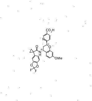 COc1ccc2c(c1)O[C@H](c1ccc(C(=O)O)cn1)C[C@H]2NC(=O)C1(c2ccc3c(c2)OC(F)(F)O3)CC1